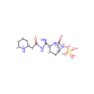 N=C(NC(=O)CC1CCCCN1)C1CCC2CN1C(=O)N2OS(=O)(=O)O